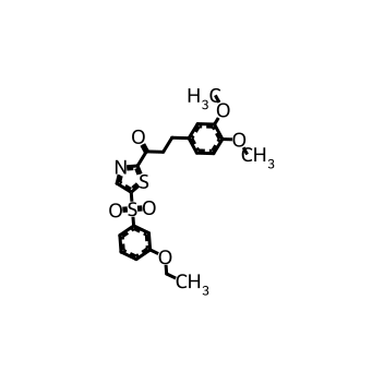 CCOc1cccc(S(=O)(=O)c2cnc(C(=O)CCc3ccc(OC)c(OC)c3)s2)c1